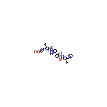 Cc1c(NC(=O)c2cc(C3CC3)c(CN3CCC(O)C3)cn2)cccc1-c1cccc(NC(=O)c2cc(C3CC3)c(CN3CCCC[C@H]3C)cn2)c1C